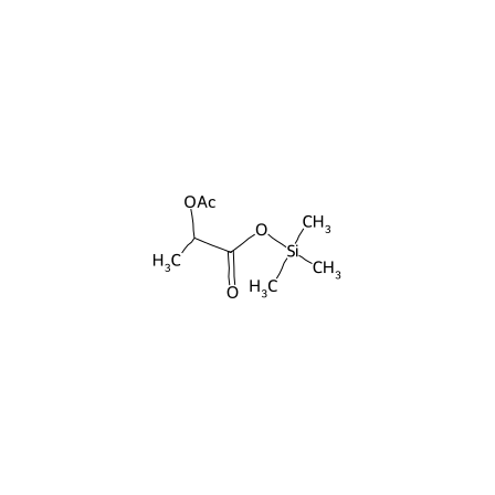 CC(=O)OC(C)C(=O)O[Si](C)(C)C